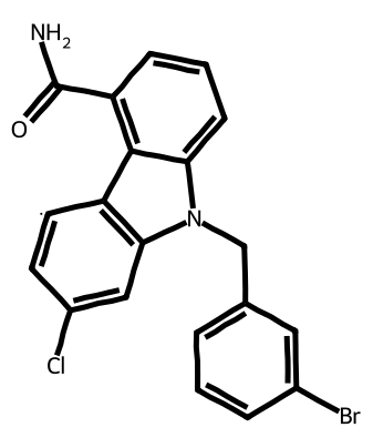 NC(=O)c1cccc2c1c1[c]cc(Cl)cc1n2Cc1cccc(Br)c1